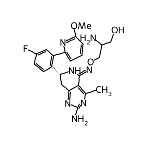 COc1cccc(-c2cc(F)ccc2[C@H]2Cc3nc(N)nc(C)c3/C(=N/OCC(N)CO)N2)n1